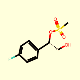 CS(=O)(=O)O[C@H](CO)c1ccc(F)cc1